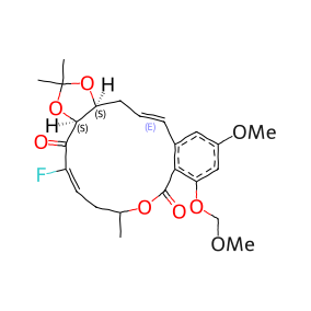 COCOc1cc(OC)cc2c1C(=O)OC(C)CC=C(F)C(=O)[C@H]1OC(C)(C)O[C@H]1C/C=C/2